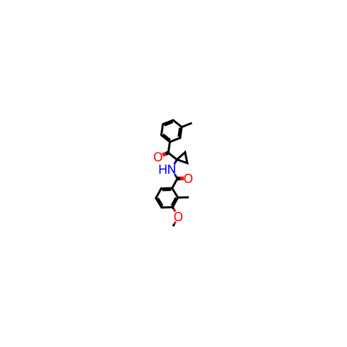 COc1cccc(C(=O)NC2(C(=O)c3cccc(C)c3)CC2)c1C